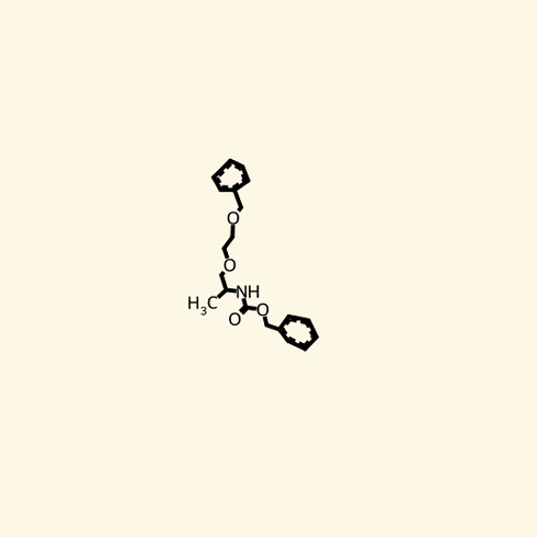 CC(COCCOCc1ccccc1)NC(=O)OCc1ccccc1